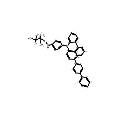 CC(C)(O)C(C)(C)OBc1ccc(N(c2ccc(-c3ccc(-c4ccccc4)cc3)cc2)c2ccccc2-c2ccccc2)cc1